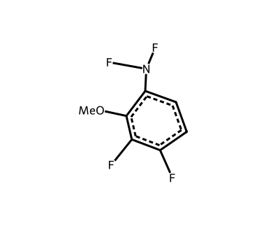 COc1c(N(F)F)ccc(F)c1F